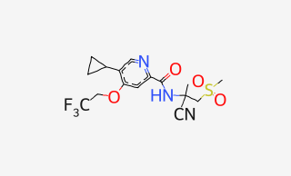 CC(C#N)(CS(C)(=O)=O)NC(=O)c1cc(OCC(F)(F)F)c(C2CC2)cn1